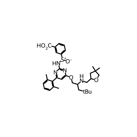 Cc1cccc(C)c1-c1cc(OCC(CC(C)(C)C)NCC2CC(C)(C)CO2)nc(N[S+]([O-])c2cccc(C(=O)O)c2)n1